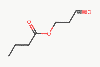 CCCC(=O)OCCC=O